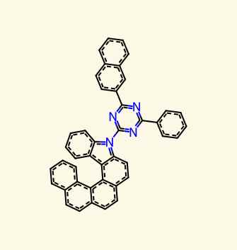 c1ccc(-c2nc(-c3ccc4ccccc4c3)nc(-n3c4ccccc4c4c5c(ccc6ccc7ccccc7c65)ccc43)n2)cc1